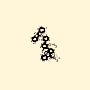 Cc1ccc(-c2cccc(-n3c4ccccc4c4sc5ccccc5c43)c2)c(C)c1-c1cccc2c1Oc1ccccc1C2(C)C